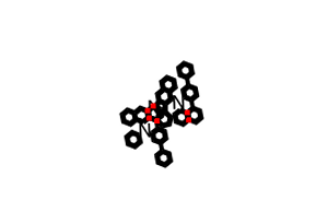 c1ccc(-c2ccc(-c3ccccc3)c(N(c3ccccc3)c3c4ccccc4cc4c3c3cccc5c6c(N(c7ccccc7)c7cc(-c8ccccc8)ccc7-c7ccccc7)c7ccccc7cc6n4c35)c2)cc1